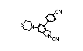 N#Cc1ccc(-c2cc(N3CCSCC3)cc3c2CN(C#N)C3)cc1